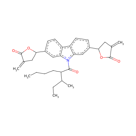 C=C1CC(c2ccc3c4ccc(C5CC(=C)C(=O)O5)cc4n(C(=O)C(CCCC)C(C)CC)c3c2)OC1=O